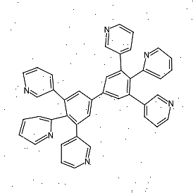 c1ccc(-c2c(-c3cccnc3)cc(-c3cc(-c4cccnc4)c(-c4ccccn4)c(-c4cccnc4)c3)cc2-c2cccnc2)nc1